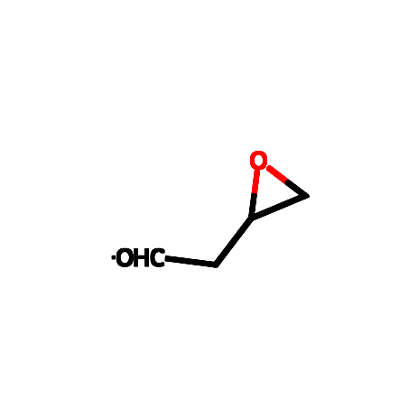 O=[C]CC1CO1